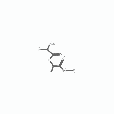 CNC(C(=O)NC(C)C(=O)NC(C)C)C(C)C